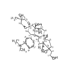 CN(C)c1ccc([C@H]2C[C@@]3(C)[C@@H](CC[C@@]3(O)CCO)[C@@H]3CC[C@@]4(O)CC5(CCC4=C32)OCC(C)(C)CO5)cc1